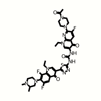 CCn1cc(NC(=O)Nc2nnc(-c3cn(CC)c4c(F)c(N5CCN(C)C(C)C5)c(F)cc4c3=O)s2)c(=O)c2cc(F)c(N3CCN(C(C)=O)CC3)nc21